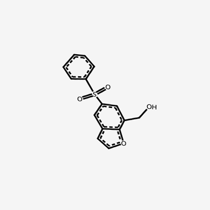 O=S(=O)(c1ccccc1)c1cc(CO)c2occc2c1